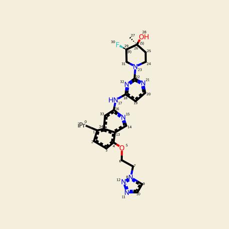 CC(C)c1ccc(OCCn2ccnn2)c2cnc(Nc3ccnc(N4CC[C@](C)(O)[C@H](F)C4)n3)cc12